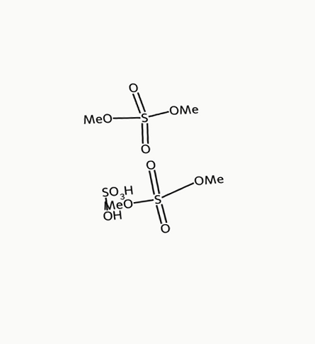 COS(=O)(=O)OC.COS(=O)(=O)OC.O=S(=O)(O)O